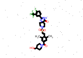 Cc1cc(C(=O)N2CCC(CO)CC2)cc(C)c1C=CS(=O)(=O)N1CCC2(CC1)N=C(c1ccc(F)c(C(F)(F)F)c1)NC2=O